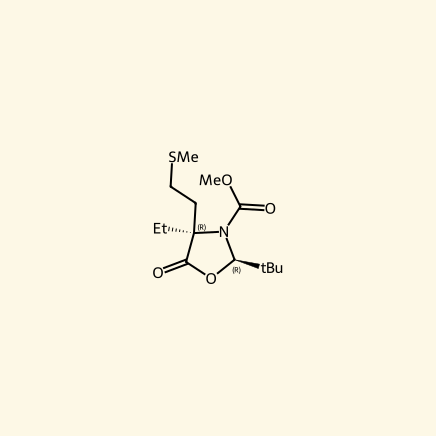 CC[C@@]1(CCSC)C(=O)O[C@H](C(C)(C)C)N1C(=O)OC